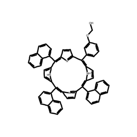 OCOc1cccc(-c2c3nc(c(-c4cccc5ccccc45)c4ccc([nH]4)c(-c4cccc5ccccc45)c4nc(c(-c5cccc6ccccc56)c5ccc2[nH]5)C=C4)C=C3)c1